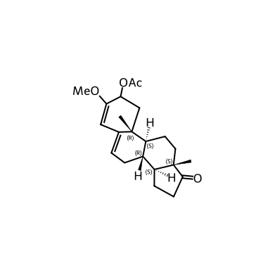 COC1=CC2=CC[C@@H]3[C@H](CC[C@]4(C)C(=O)CC[C@@H]34)[C@@]2(C)CC1OC(C)=O